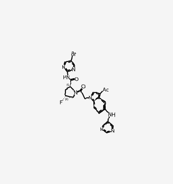 CC(=O)c1cn(CC(=O)N2C[C@H](F)C[C@H]2C(=O)Nc2ncc(Br)cn2)c2ccc(Nc3cncnc3)cc12